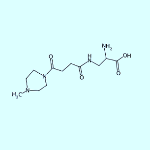 CN1CCN(C(=O)CCC(=O)NCC(N)C(=O)O)CC1